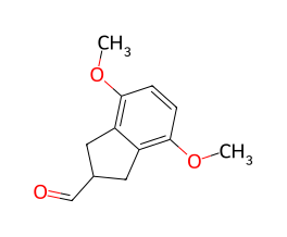 COc1ccc(OC)c2c1CC(C=O)C2